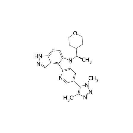 Cc1nnn(C)c1-c1cnc2c3c4cn[nH]c4ccc3n([C@H](C)C3CCOCC3)c2c1